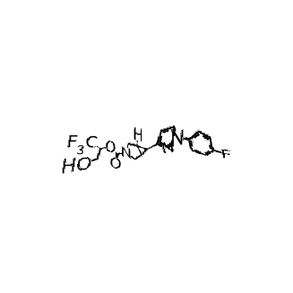 O=C(O[C@H](CO)C(F)(F)F)N1CC2[C@@H](C1)[C@H]2c1ccn(-c2ccc(F)cc2)n1